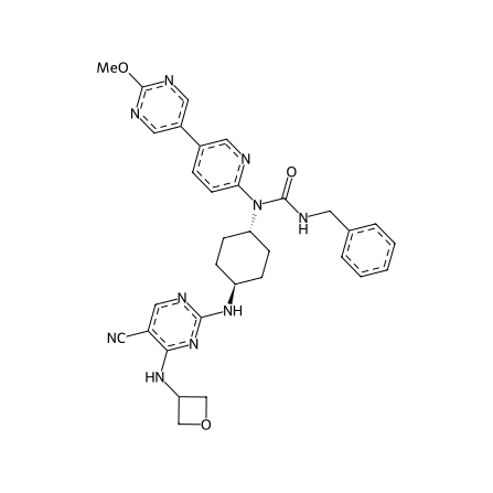 COc1ncc(-c2ccc(N(C(=O)NCc3ccccc3)[C@H]3CC[C@H](Nc4ncc(C#N)c(NC5COC5)n4)CC3)nc2)cn1